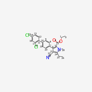 CCOC(=O)c1c(-c2ccc(-c3ccc(Cl)cc3Cl)cc2)c(C#N)c(CC)n1C